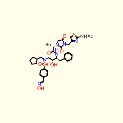 CC[C@H](C)[C@@H](C(=O)N[C@@H](Cc1ccccc1)[C@H](O)CN(CC1CCCC1)S(=O)(=O)c1ccc(/C=N/O)cc1)N1CC(=O)N(Cc2csc(NC(C)=O)n2)C1=O